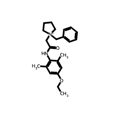 CCOc1cc(C)c(NC(=O)C[N+]2(Cc3ccccc3)CCCC2)c(C)c1